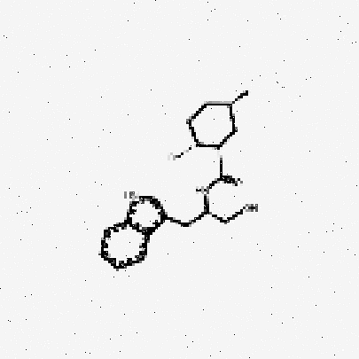 CC(C)[C@@H]1CC[C@@H](C)C[C@H]1C(=O)N[C@@H](CO)Cc1c[nH]c2ccccc12